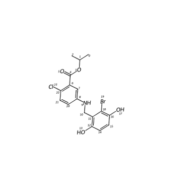 CC(C)OC(=O)c1cc(NCc2c(O)ccc(O)c2Br)ccc1Cl